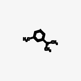 Cc1c[c]cc(N(C)C)c1